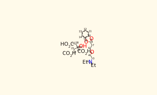 CCN(CC)CCOCCC1Oc2ccccc2O1.O=C(O)CC(O)(CC(=O)O)C(=O)O